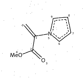 C=C(C(=O)OC)n1cccc1